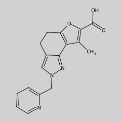 Cc1c(C(=O)O)oc2c1-c1nn(Cc3ccccn3)cc1CC2